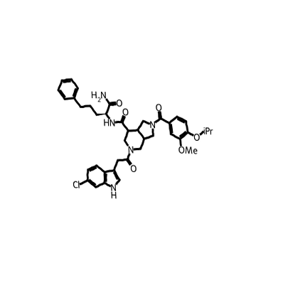 COc1cc(C(=O)N2CC3CN(C(=O)Cc4c[nH]c5cc(Cl)ccc45)CC(C(=O)N[C@@H](CCCc4ccccc4)C(N)=O)C3C2)ccc1OC(C)C